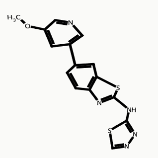 COc1cncc(-c2ccc3nc(Nc4nncs4)sc3c2)c1